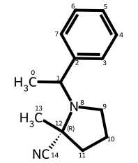 CC(c1ccccc1)N1CCC[C@]1(C)C#N